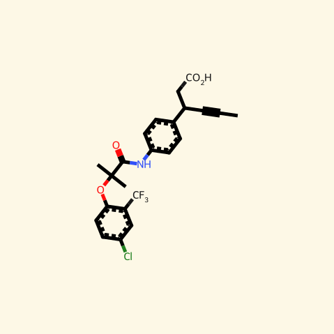 CC#CC(CC(=O)O)c1ccc(NC(=O)C(C)(C)Oc2ccc(Cl)cc2C(F)(F)F)cc1